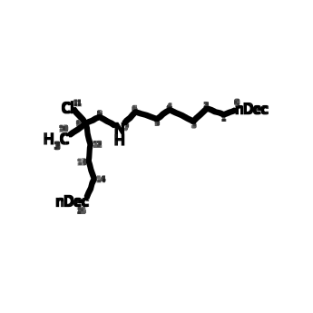 CCCCCCCCCCCCCCCCNCC(C)(Cl)CCCCCCCCCCCCC